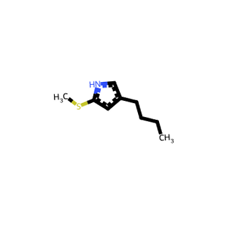 CCCCc1c[nH]c(SC)c1